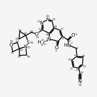 Cn1c(=O)c(C(=O)NCc2ccc(C#N)cc2)cc2cnnc(OCC3(SN4CCC45COC5)CC3)c21